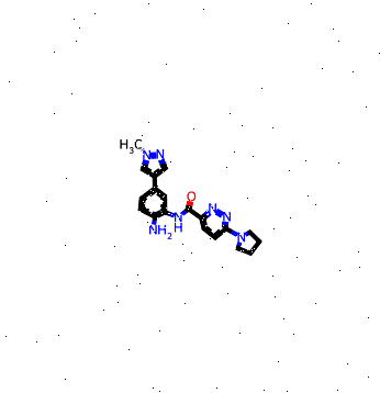 Cn1cc(-c2ccc(N)c(NC(=O)c3ccc(N4CCCC4)nn3)c2)cn1